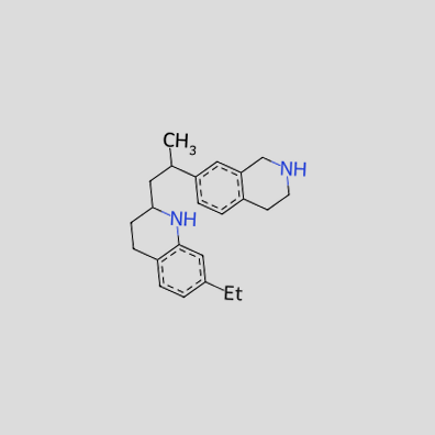 CCc1ccc2c(c1)NC(CC(C)c1ccc3c(c1)CNCC3)CC2